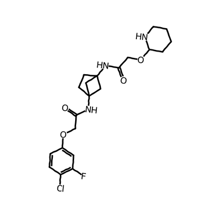 O=C(COc1ccc(Cl)c(F)c1)NC12CCC(NC(=O)COC3CCCCN3)(C1)C2